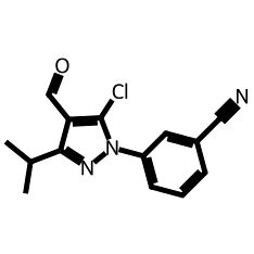 CC(C)c1nn(-c2cccc(C#N)c2)c(Cl)c1C=O